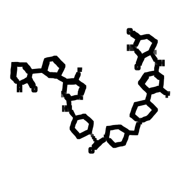 O=C1CC[C@@H](Nc2ccc(C3CCN(CC4CCN(C(=O)[C@H]5CC[C@H](Nc6ncc(F)c(-c7cccc(-c8ccc[nH]c8=O)c7)n6)CC5)CC4)CC3)c(F)c2)C(=O)N1